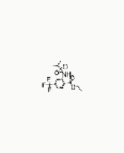 CCOC(=O)c1ccc(C(F)(F)F)cc1NS(=O)(=O)C(C)C